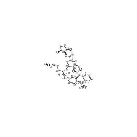 CCC[n+]1c2ccccc2c(C(=O)Oc2c(C)cc(C(=O)ON3C(=O)CCC3=O)cc2C)c2cc(C[N+](C)(C)CCCS(=O)(=O)O)ccc21